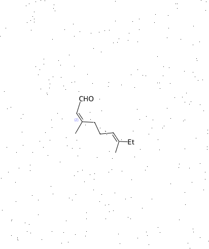 CCC(C)=CCC/C(C)=C\C=O